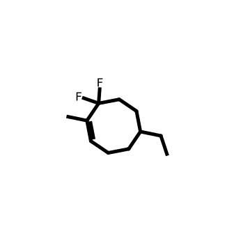 CCC1CC/C=C(/C)C(F)(F)CC1